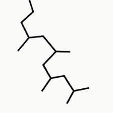 CCCC(C)CC(C)CC(C)CC(C)C